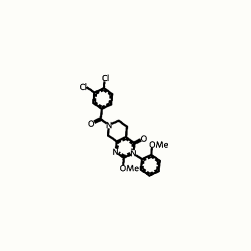 COc1ccccc1-n1c(OC)nc2c(c1=O)CCN(C(=O)c1ccc(Cl)c(Cl)c1)C2